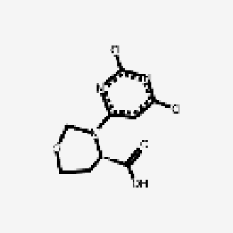 O=C(O)[C@H]1CCOCN1c1cc(Cl)nc(Cl)n1